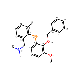 COc1cccc(Pc2c(C)cccc2CN(C)C)c1OCc1ccccc1